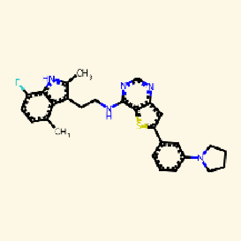 Cc1[nH]c2c(F)ccc(C)c2c1CCNc1ncnc2cc(-c3cccc(N4CCCC4)c3)sc12